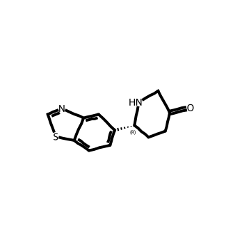 O=C1CC[C@H](c2ccc3scnc3c2)NC1